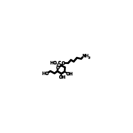 NCCCCCO[C@]1(C(=O)O)C[C@@H](O)[C@@H](O)C(CCO)O1